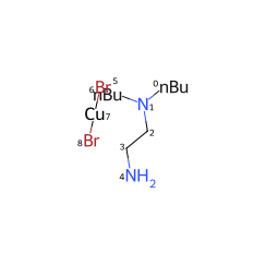 CCCCN(CCN)CCCC.[Br][Cu][Br]